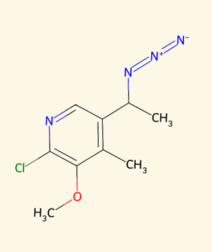 COc1c(Cl)ncc(C(C)N=[N+]=[N-])c1C